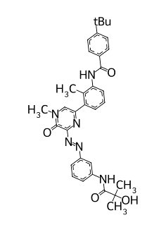 Cc1c(NC(=O)c2ccc(C(C)(C)C)cc2)cccc1-c1cn(C)c(=O)c(N=Nc2cccc(NC(=O)C(C)(C)O)c2)n1